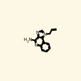 C=CCn1cnc2c(N)nc3ccccc3c21